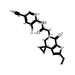 CCc1cc2c(s1)C(=O)N(CC(=O)Nc1ncc(C#N)cc1F)CC21CC1